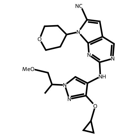 COCC(C)n1cc(Nc2ncc3cc(C#N)n(C4CCOCC4)c3n2)c(OC2CC2)n1